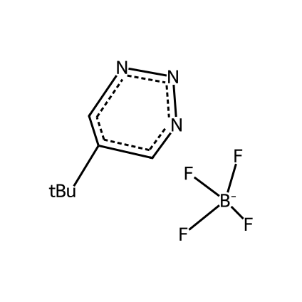 CC(C)(C)c1cnnnc1.F[B-](F)(F)F